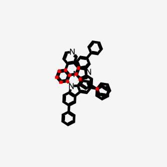 c1ccc(-c2ccc3c(c2)c2cc(-c4ccccc4)ccc2n3-c2ccccc2-c2ccncc2-c2cnccc2-c2ccccc2-n2c3ccc(-c4ccccc4)cc3c3cc(-c4ccccc4)ccc32)cc1